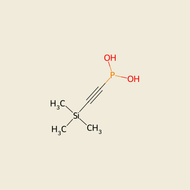 C[Si](C)(C)C#CP(O)O